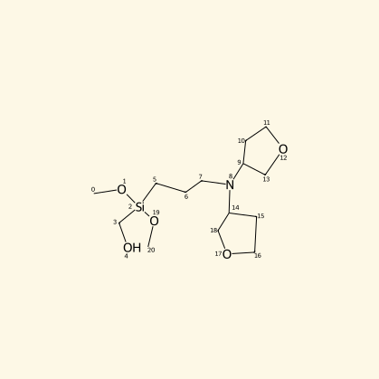 CO[Si](CO)(CCCN(C1CCOC1)C1CCOC1)OC